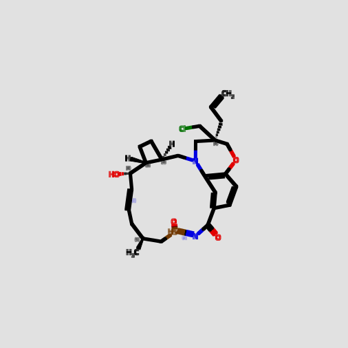 C=CC[C@]1(CCl)COc2ccc3cc2N(C[C@@H]2CC[C@H]2[C@@H](O)/C=C/C[C@H](C)C/[SH](=O)=N/C3=O)C1